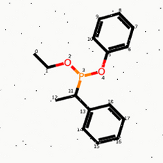 CCOP(Oc1ccccc1)C(C)c1ccccc1